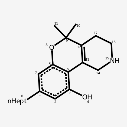 CCCCCCCc1cc(O)c2c(c1)OC(C)(C)C1=C2CNCC1